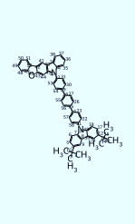 CC(C)(C)c1ccc2c(c1)c1cc(C(C)(C)C)ccc1n2-c1ccc(-c2ccc(-c3ccc(-n4c5ccccc5c5cc6c(cc54)oc4ccccc46)cc3)cc2)cc1